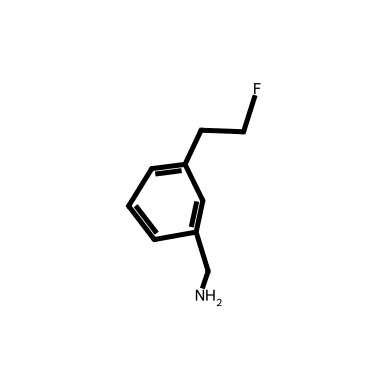 NCc1cccc(CCF)c1